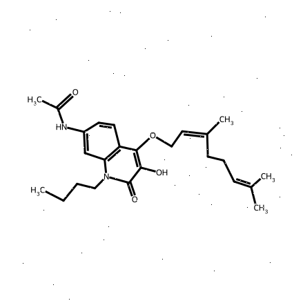 CCCCn1c(=O)c(O)c(OCC=C(C)CCC=C(C)C)c2ccc(NC(C)=O)cc21